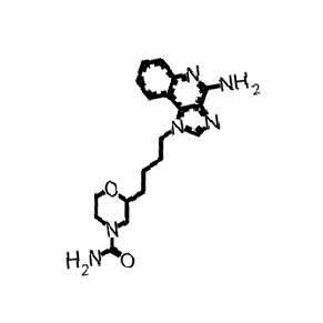 NC(=O)N1CCOC(CCCCn2cnc3c(N)nc4ccccc4c32)C1